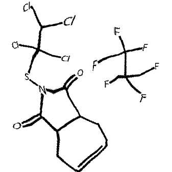 FC(F)(F)C(F)(F)F.O=C1C2CC=CCC2C(=O)N1SC(Cl)(Cl)C(Cl)Cl